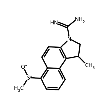 CC1CN(C(=N)N)c2ccc3c([S+](C)[O-])cccc3c21